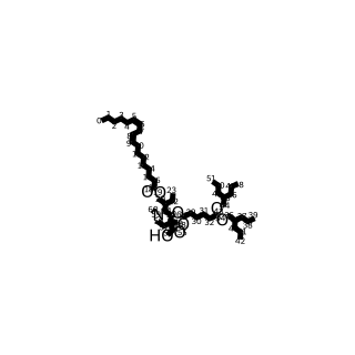 CCCCC/C=C\C/C=C\CCCCCCCC(=O)OCC(CC)C1C(OC(=O)CCCCC(OCC(CCC)CCC)OCC(CCC)CCC)C(C)(C(=O)O)CCN1C